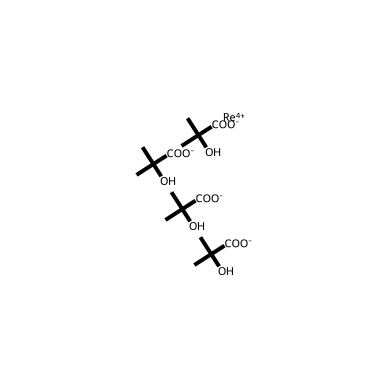 CC(C)(O)C(=O)[O-].CC(C)(O)C(=O)[O-].CC(C)(O)C(=O)[O-].CC(C)(O)C(=O)[O-].[Re+4]